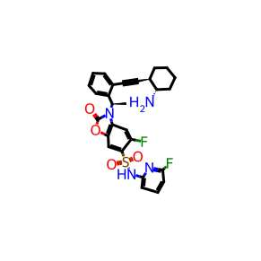 C[C@H](c1ccccc1C#C[C@H]1CCCC[C@@H]1N)n1c(=O)oc2cc(S(=O)(=O)Nc3cccc(F)n3)c(F)cc21